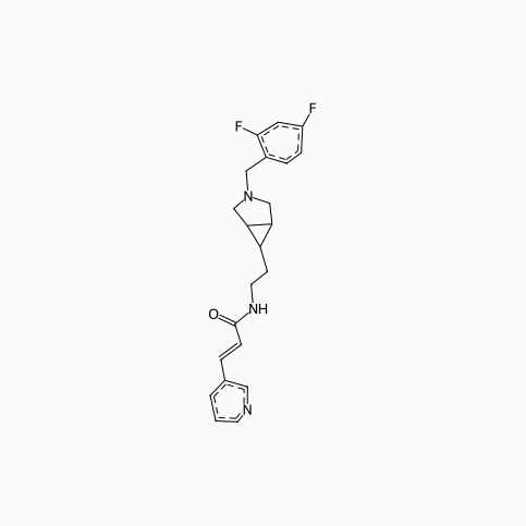 O=C(/C=C/c1cccnc1)NCCC1C2CN(Cc3ccc(F)cc3F)CC12